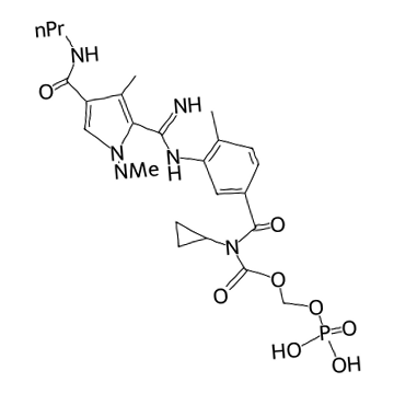 CCCNC(=O)c1cn(NC)c(C(=N)Nc2cc(C(=O)N(C(=O)OCOP(=O)(O)O)C3CC3)ccc2C)c1C